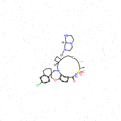 C[C@@H]1[C@@H](C)CCC[C@@H](CN2CCN3CCNC[C@@H]3C2)[C@@H]2CC[C@H]2CN2C[C@@]3(CCCc4cc(Cl)ccc43)COc3ccc(cc32)C(=O)NS1(=O)=O